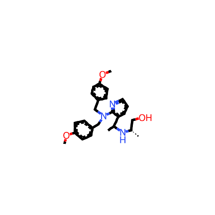 COc1ccc(CN(Cc2ccc(OC)cc2)c2ncccc2C(C)N[C@@H](C)CO)cc1